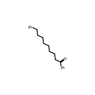 CC(C)CCCCCCCCC(=O)C(C)C